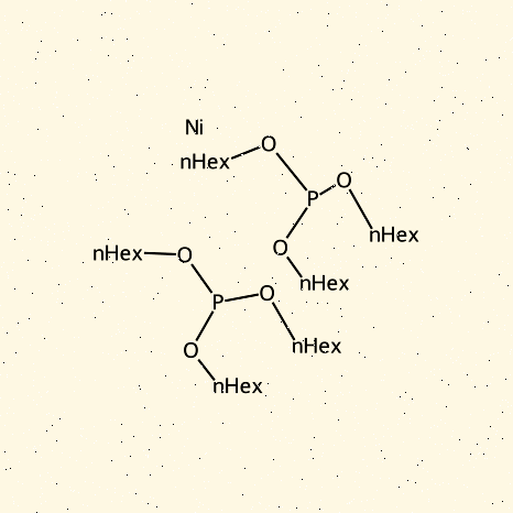 CCCCCCOP(OCCCCCC)OCCCCCC.CCCCCCOP(OCCCCCC)OCCCCCC.[Ni]